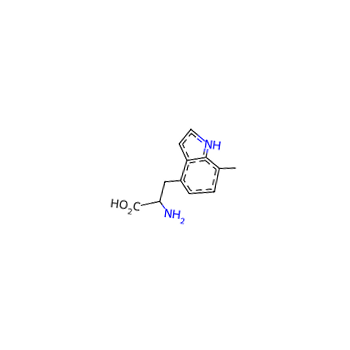 Cc1ccc(CC(N)C(=O)O)c2cc[nH]c12